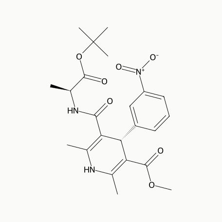 COC(=O)C1=C(C)NC(C)=C(C(=O)N[C@@H](C)C(=O)OC(C)(C)C)[C@@H]1c1cccc([N+](=O)[O-])c1